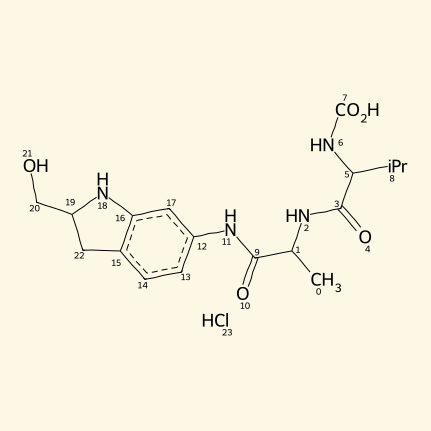 CC(NC(=O)C(NC(=O)O)C(C)C)C(=O)Nc1ccc2c(c1)NC(CO)C2.Cl